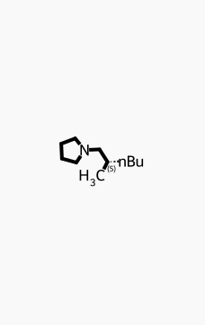 CCCC[C@H](C)CN1CCCC1